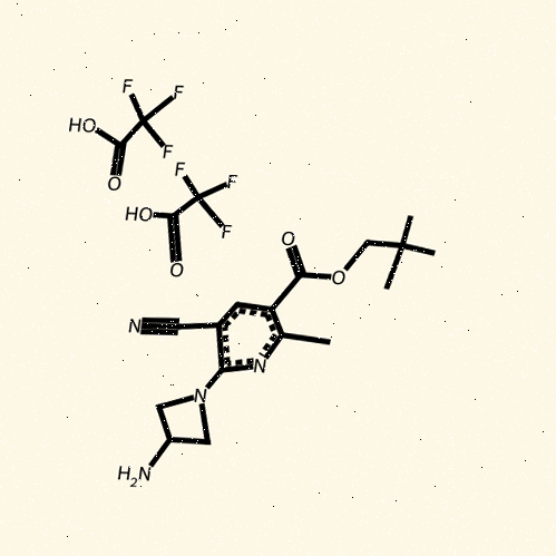 Cc1nc(N2CC(N)C2)c(C#N)cc1C(=O)OCC(C)(C)C.O=C(O)C(F)(F)F.O=C(O)C(F)(F)F